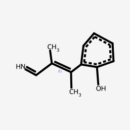 C/C(C=N)=C(/C)c1ccccc1O